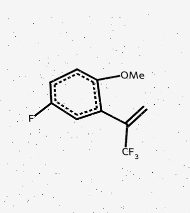 C=C(c1cc(F)ccc1OC)C(F)(F)F